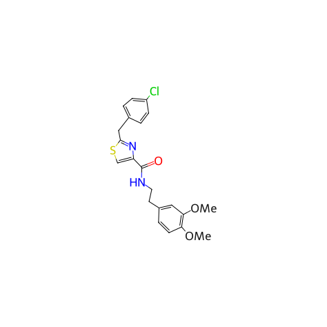 COc1ccc(CCNC(=O)c2csc(Cc3ccc(Cl)cc3)n2)cc1OC